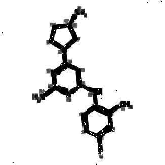 Cc1cc(F)ccc1Nc1cc(N2CC[C@@H](N)C2)nc(N)n1